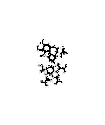 COc1cc2c(c(OC)c1OC)-c1ccc(O[C@H]3O[C@H](C(=O)O)[C@H](OC(=O)C(C)C)[C@H](OC(=O)C(C)C)[C@H]3OC(=O)C(C)C)cc1[C@@H](NC(C)=O)CC2